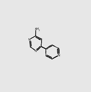 Nc1cc(-c2ccncc2)ncn1